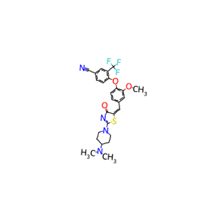 COc1cc(C=C2SC(N3CCC(N(C)C)CC3)=NC2=O)ccc1Oc1ccc(C#N)cc1C(F)(F)F